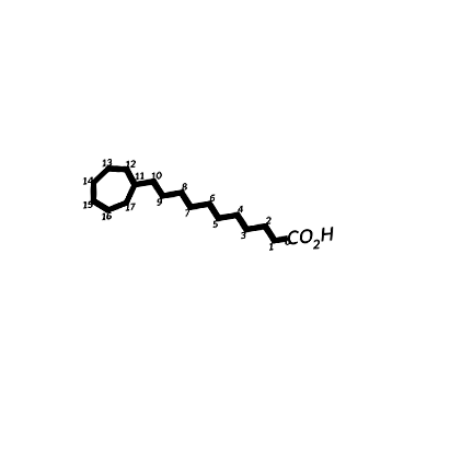 O=C(O)CCCCCCCCCCC1CCCCCC1